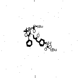 CC(C)(C)OC(=O)Nc1ccc(CC(=O)CC[C@@H]2[C@@H](c3ccccc3)OC(C)(C)N2NC(=O)OC(C)(C)C)cc1